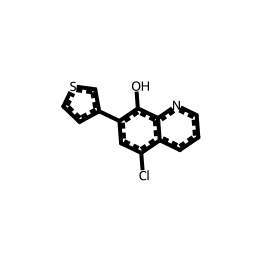 Oc1c(-c2ccsc2)cc(Cl)c2cccnc12